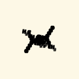 CCCc1ccc(-c2ccc(N(c3ccc(-c4ccc(-c5ccc(-c6ccccc6)cc5)cc4)cc3)c3ccc(-c4ccc5c(c4)C4(CC5(C)C)CC(C)(C)c5c(C)cc(-c6ccc(N(c7ccc(-c8ccc(CCC)cc8)cc7)c7ccc(-c8ccc(-c9ccc(-c%10ccccc%10)cc9)cc8)cc7)cc6C)cc54)c(C)c3)cc2)cc1